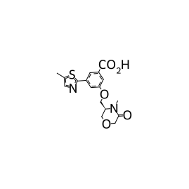 Cc1cnc(-c2cc(OC[C@@H]3COCC(=O)N3C)cc(C(=O)O)c2)s1